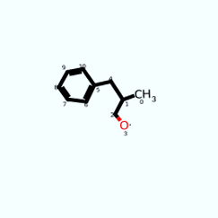 CC(C[O])Cc1ccccc1